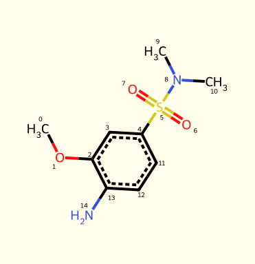 COc1cc(S(=O)(=O)N(C)C)ccc1N